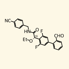 CCO[C@H](C(=O)NCc1ccc(C#N)cc1)c1c(F)cc(-c2ccccc2C=O)cc1F